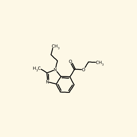 CCCn1c(C)nc2cccc(C(=O)OCC)c21